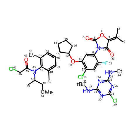 CC(C)=C1OC(=O)N(c2cc(OC3CCCC3)c(Cl)cc2F)C1=O.CCNc1nc(Cl)nc(NC(C)(C)C)n1.CCc1cccc(C)c1N(C(=O)CCl)C(C)COC